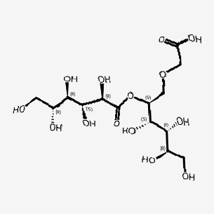 O=C(O)COC[C@H](OC(=O)[C@H](O)[C@@H](O)[C@H](O)[C@H](O)CO)[C@@H](O)[C@H](O)[C@H](O)CO